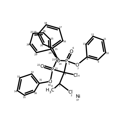 CC(Cl)C(Cl)(P(=O)(Oc1ccccc1)Oc1ccccc1)P(=O)(Oc1ccccc1)Oc1ccccc1.[Ni]